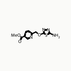 COC(=O)c1ccc(COc2nnc(N)s2)nc1